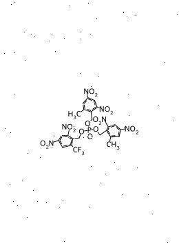 Cc1cc([N+](=O)[O-])cc([N+](=O)[O-])c1COP(=O)(OCc1c(C)cc([N+](=O)[O-])cc1[N+](=O)[O-])OCc1c([N+](=O)[O-])cc([N+](=O)[O-])cc1C(F)(F)F